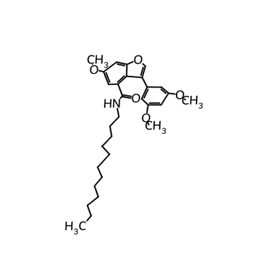 CCCCCCCCCCCCNC(=O)c1cc(OC)cc2occ(-c3cc(OC)cc(OC)c3)c12